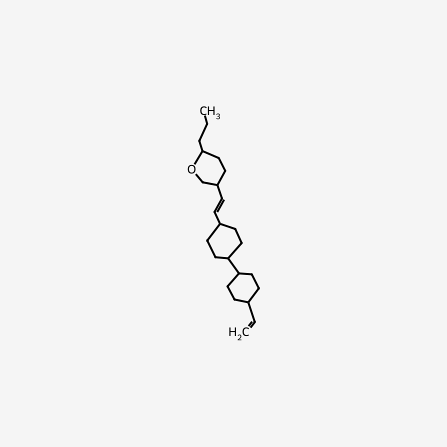 C=CC1CCC(C2CCC(/C=C/C3CCC(CCC)OC3)CC2)CC1